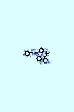 COc1ccc(Cl)c2c1N(c1ccccc1Nc1nc(-c3ccccc3)ns1)C(CC(C)(C)C)C21CCNCC1